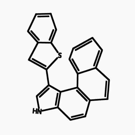 c1ccc2sc(-c3c[nH]c4ccc5ccc6ccccc6c5c34)cc2c1